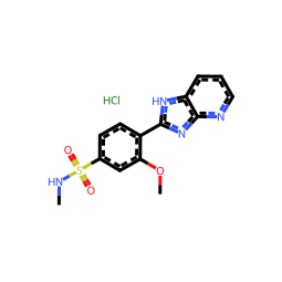 CNS(=O)(=O)c1ccc(-c2nc3ncccc3[nH]2)c(OC)c1.Cl